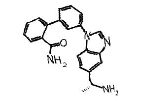 C[C@@H](N)c1ccc2c(c1)ncn2-c1cccc(-c2ccccc2C(N)=O)c1